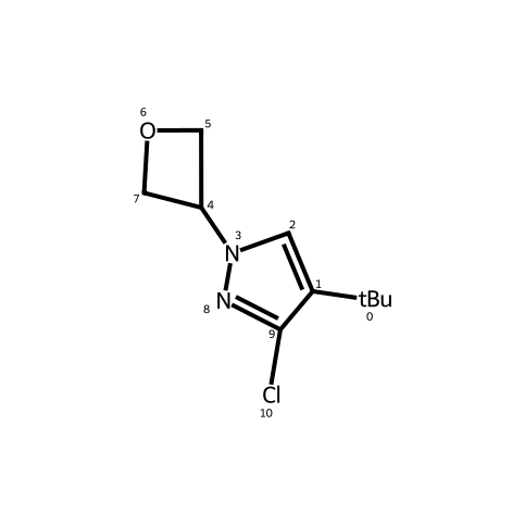 CC(C)(C)c1cn(C2COC2)nc1Cl